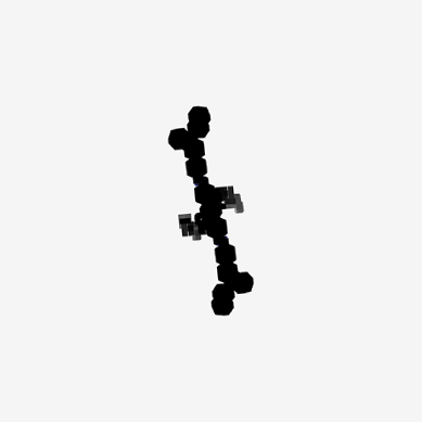 CC1(C)c2cc(/C=C/c3ccc(-c4ccc5c(c4)c4ccccc4n5-c4ccc5ccccc5c4)cc3)ccc2-c2cc3c(cc21)-c1ccc(/C=C/c2ccc(-c4ccc5c(c4)c4ccccc4n5-c4ccc5ccccc5c4)cc2)cc1C3(C)C